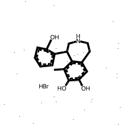 Br.Cc1c(O)c(O)cc2c1C(c1ccccc1O)CNCC2